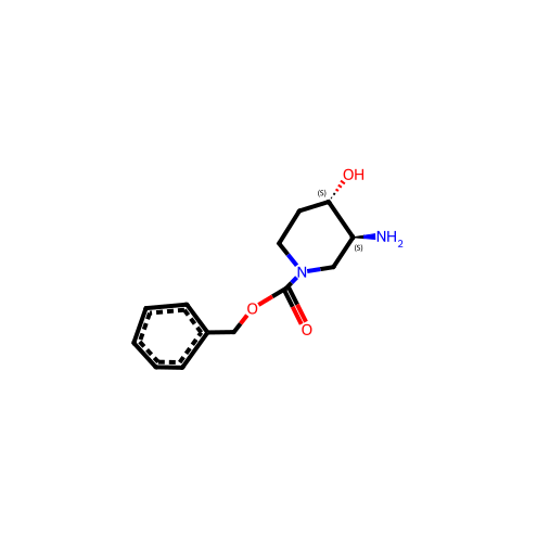 N[C@H]1CN(C(=O)OCc2ccccc2)CC[C@@H]1O